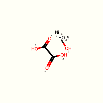 O=C(O)C(=O)O.O=S(=O)(O)O.[Ni]